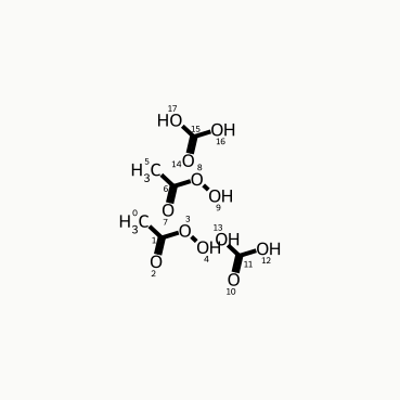 CC(=O)OO.CC(=O)OO.O=C(O)O.O=C(O)O